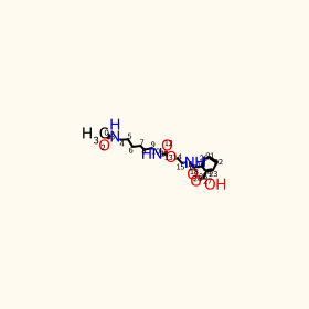 CC(=O)NCCCCCCNC(=O)OCCNC(=O)c1ccccc1C(=O)O